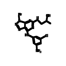 CC(O)CNc1nc(Nc2cc(N)cc(Cl)c2)c2nnn(C(C)C)c2n1